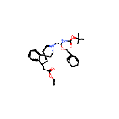 CCOC(=O)CC1CC2(CCN(C[C@H](NC(=O)OC(C)(C)C)OCc3ccccc3)CC2)c2ccccc21